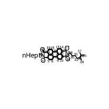 CCCCCCCN1C(=O)c2ccc3c4ccc5c6c(ccc(c7ccc(c2c37)C1=O)c64)C(=O)N(CCCCC(C)=C(C)C)C5=O